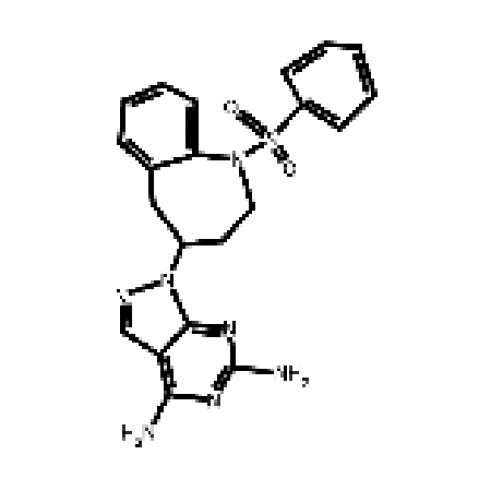 Nc1nc(N)c2cnn(C3CCN(S(=O)(=O)c4ccccc4)c4ccccc4C3)c2n1